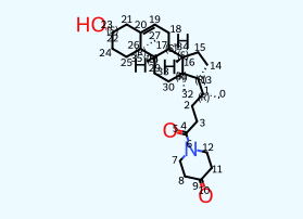 C[C@H](CCC(=O)N1CCC(=O)CC1)[C@H]1CC[C@H]2[C@@H]3CC=C4C[C@@H](O)CC[C@]4(C)[C@H]3CC[C@]12C